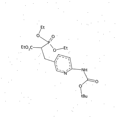 CCOC(=O)C(Cc1ccc(NC(=O)OC(C)(C)C)nc1)P(=O)(OCC)OCC